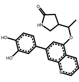 CC(Oc1cc(-c2ccc(O)c(O)c2)cc2ncccc12)C1CNC(=O)C1